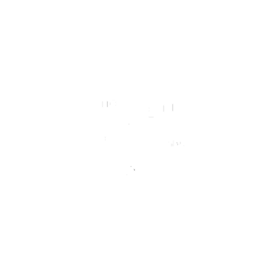 CCCCC(N)C(C)(C)O.Cl